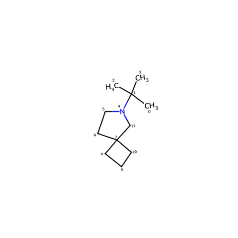 CC(C)(C)N1CCC2(CCC2)C1